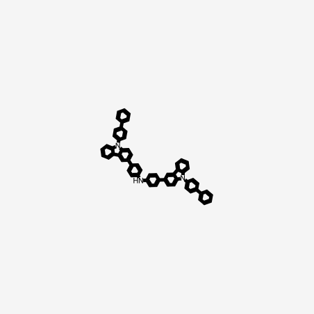 c1ccc(-c2ccc(-n3c4ccccc4c4cc(-c5ccc(Nc6ccc(-c7ccc8c(c7)c7ccccc7n8-c7ccc(-c8ccccc8)cc7)cc6)cc5)ccc43)cc2)cc1